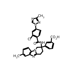 Cc1ccc2c(c1)nc1n2CC(NC(=O)c2ccc(-n3cnc(C)n3)cc2Cl)(c2cccc(C(=O)O)c2)CC1